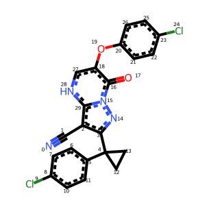 N#Cc1c(C2(c3ccc(Cl)cc3)CC2)nn2c(=O)c(Oc3ccc(Cl)cc3)c[nH]c12